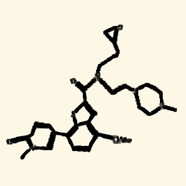 COc1ccc(-c2ccc(=O)n(C)c2)c2sc(C(=O)N(CCC3CO3)CCN3CCN(C)CC3)cc12